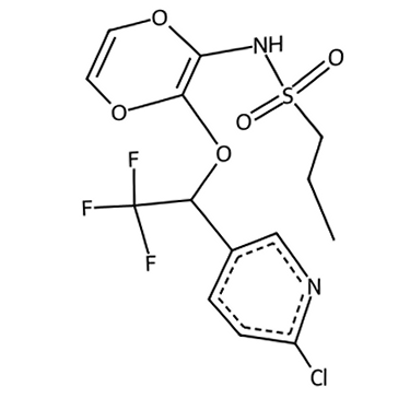 CCCS(=O)(=O)NC1=C(OC(c2ccc(Cl)nc2)C(F)(F)F)OC=CO1